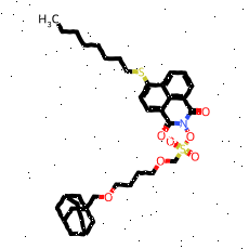 CCCCCCCCSc1ccc2c3c(cccc13)C(=O)N(OS(=O)(=O)COCCCCOCC13CC4CC(CC(C4)C1)C3)C2=O